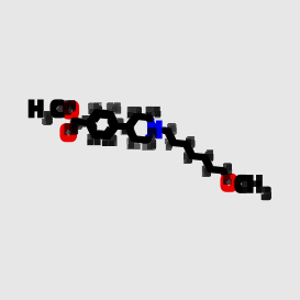 COCCCCCCCN1CCC(c2ccc(C(=O)OC)cc2)CC1